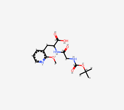 COc1ncccc1CC(NC(=O)CNC(=O)OC(C)(C)C)C(=O)O